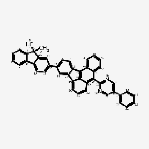 CC1(C)c2ccccc2-c2ccc(-c3ccc4c(c3)-c3cccc5c(-c6ncc(-c7ccccc7)cn6)c6ccccc6c-4c35)cc21